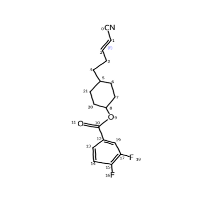 N#C/C=C/CCC1CCC(OC(=O)c2ccc(F)c(F)c2)CC1